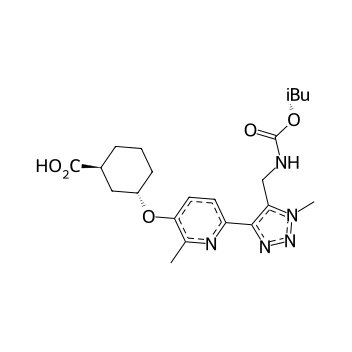 CC[C@@H](C)OC(=O)NCc1c(-c2ccc(O[C@H]3CCC[C@H](C(=O)O)C3)c(C)n2)nnn1C